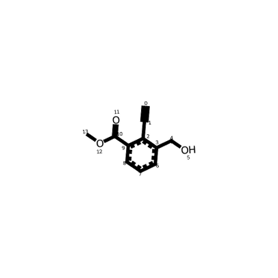 C#Cc1c([CH]O)cccc1C(=O)OC